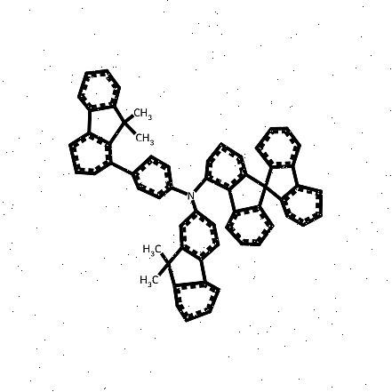 CC1(C)c2ccccc2-c2ccc(N(c3ccc(-c4cccc5c4C(C)(C)c4ccccc4-5)cc3)c3cccc4c3-c3ccccc3C43c4ccccc4-c4ccccc43)cc21